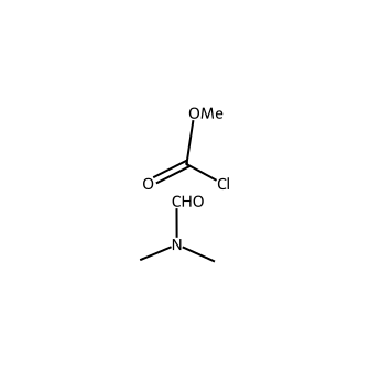 CN(C)C=O.COC(=O)Cl